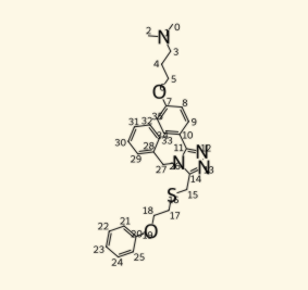 CN(C)CCCOc1ccc(-c2nnc(CSCCOc3ccccc3)n2Cc2ccccc2)cc1